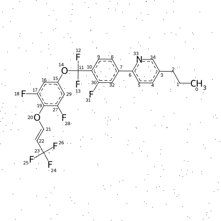 CCCc1ccc(-c2ccc(C(F)(F)Oc3cc(F)c(O/C=C/C(F)(F)F)c(F)c3)c(F)c2)nc1